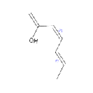 C=C(O)/C=C\C=C\C